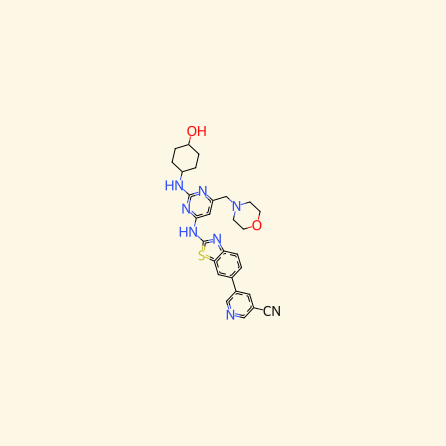 N#Cc1cncc(-c2ccc3nc(Nc4cc(CN5CCOCC5)nc(NC5CCC(O)CC5)n4)sc3c2)c1